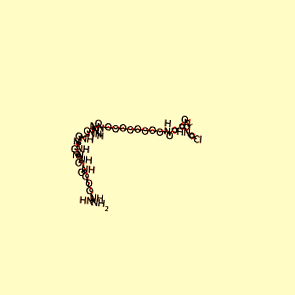 CC(=O)N1c2ccc(-c3ccc(C(=O)NCCOCCOCCOCCOCCOCCOCCOCCOCCNC(=O)c4nc(NC(=O)CCNC(=O)c5cc(NC(=O)c6nc(NC(=O)CCNC(=O)COCCOCCOCCNC(=N)N)cn6C)cn5C)cn4C)cc3)cc2[C@H](Nc2ccc(Cl)cc2)C[C@@H]1C